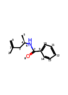 C=C(C)C[C@@H](C)NC(=O)c1ccccc1